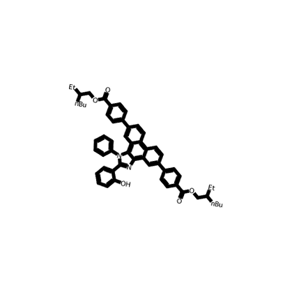 CCCCC(CC)COC(=O)c1ccc(-c2ccc3c4ccc(-c5ccc(C(=O)OCC(CC)CCCC)cc5)cc4c4c(nc(-c5ccccc5O)n4-c4ccccc4)c3c2)cc1